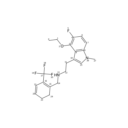 CCOc1c(F)ccc2c1c(CCNCC1=C(C(F)(F)F)C=CCC1)cn2C